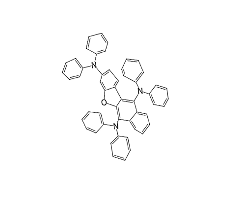 c1ccc(N(c2ccccc2)c2ccc3c(c2)oc2c(N(c4ccccc4)c4ccccc4)c4ccccc4c(N(c4ccccc4)c4ccccc4)c23)cc1